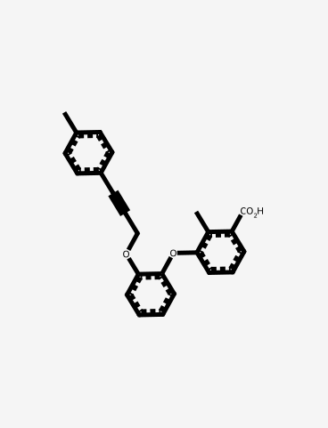 Cc1ccc(C#CCOc2ccccc2Oc2cccc(C(=O)O)c2C)cc1